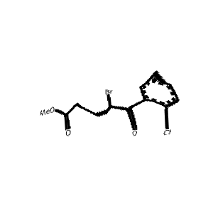 COC(=O)CCC(Br)C(=O)c1ccccc1Cl